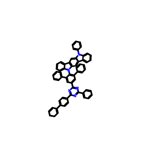 C1=CC(c2ccc(-c3nc(-c4ccccc4)nc(-c4cc(-c5ccccc5)c(-n5c6ccccc6c6cc7c(cc65)c5ccccc5n7-c5ccccc5)c(-c5ccccc5)c4)n3)cc2)=CCC1